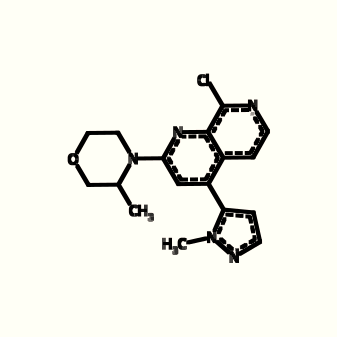 CC1COCCN1c1cc(-c2ccnn2C)c2ccnc(Cl)c2n1